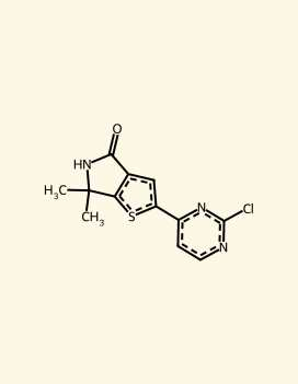 CC1(C)NC(=O)c2cc(-c3ccnc(Cl)n3)sc21